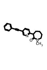 CN1CCCCC(c2ccc(C#Cc3ccccc3)cn2)C1=O